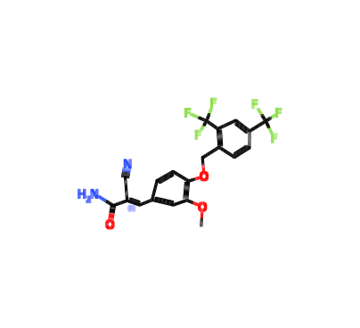 COc1cc(/C=C(\C#N)C(N)=O)ccc1OCc1ccc(C(F)(F)F)cc1C(F)(F)F